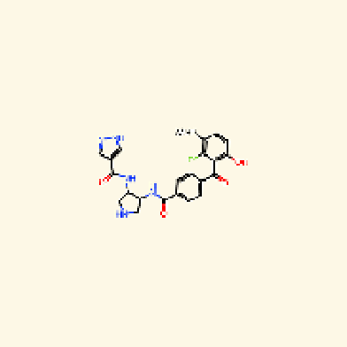 COc1ccc(O)c(C(=O)c2ccc(C(=O)NC3CNC[C@H]3NC(=O)c3cn[nH]c3)cc2)c1F